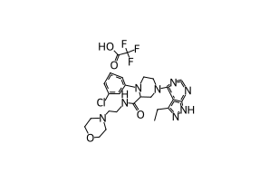 CCc1n[nH]c2ncnc(N3CCN(c4cccc(Cl)c4)C(C(=O)NCCN4CCOCC4)C3)c12.O=C(O)C(F)(F)F